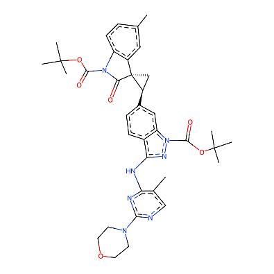 Cc1ccc2c(c1)[C@]1(C[C@H]1c1ccc3c(Nc4nc(N5CCOCC5)ncc4C)nn(C(=O)OC(C)(C)C)c3c1)C(=O)N2C(=O)OC(C)(C)C